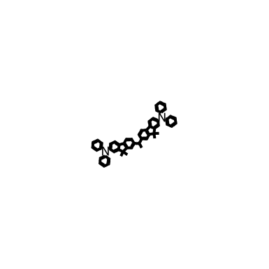 CC(c1ccc2c(c1)C(C)(C)c1cc(N(c3ccccc3)c3ccccc3)ccc1-2)c1ccc2c(c1)C(C)(C)c1cc(N(c3ccccc3)c3ccccc3)ccc1-2